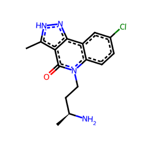 Cc1[nH]nc2c1c(=O)n(CC[C@H](C)N)c1ccc(Cl)cc21